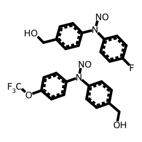 O=NN(c1ccc(CO)cc1)c1ccc(OC(F)(F)F)cc1.O=NN(c1ccc(F)cc1)c1ccc(CO)cc1